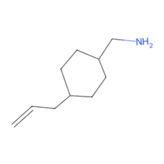 C=CCC1CCC(CN)CC1